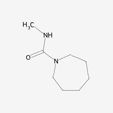 CNC(=O)N1CCCCCC1